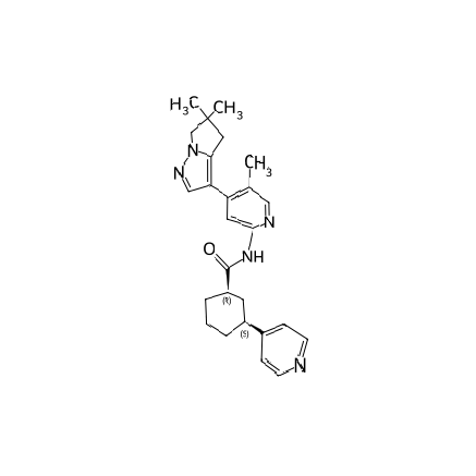 Cc1cnc(NC(=O)[C@@H]2CCC[C@H](c3ccncc3)C2)cc1-c1cnn2c1CC(C)(C)C2